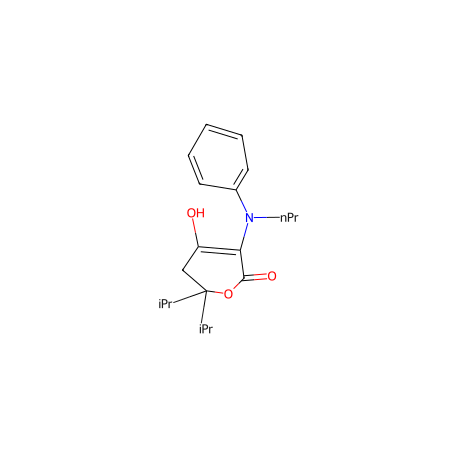 CCCN(C1=C(O)CC(C(C)C)(C(C)C)OC1=O)c1ccccc1